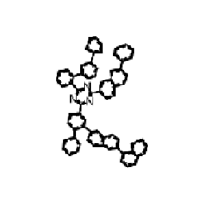 c1ccc(-c2cccc(-c3ccccc3-c3nc(-c4ccc(-c5ccccc5)c(-c5ccc6cc(-c7cccc8ccccc78)ccc6c5)c4)nc(-c4ccc5ccc(-c6ccccc6)cc5c4)n3)c2)cc1